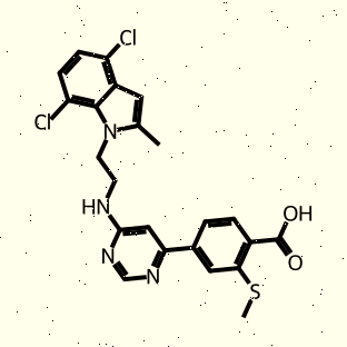 CSc1cc(-c2cc(NCCn3c(C)cc4c(Cl)ccc(Cl)c43)ncn2)ccc1C(=O)O